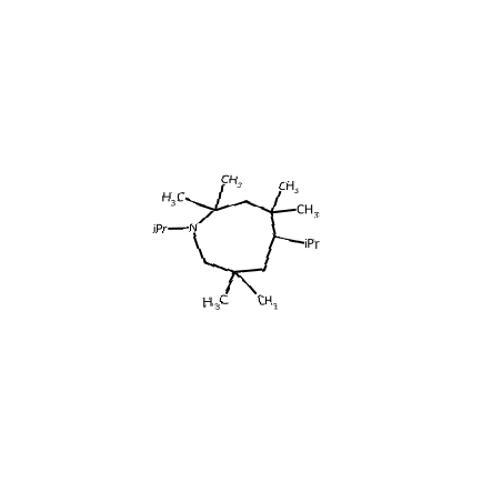 CC(C)C1CC(C)(C)CN(C(C)C)C(C)(C)CC1(C)C